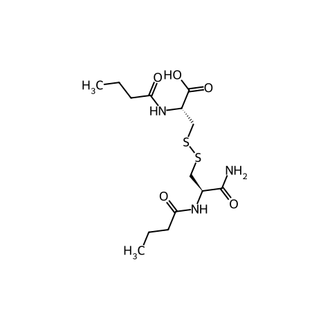 CCCC(=O)N[C@@H](CSSC[C@H](NC(=O)CCC)C(=O)O)C(N)=O